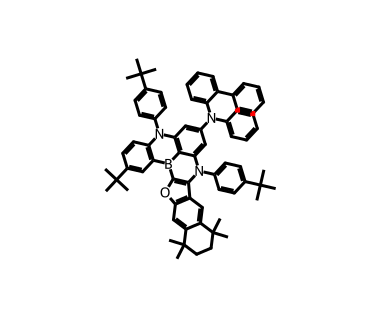 CC(C)(C)c1ccc(N2c3ccc(C(C)(C)C)cc3B3c4oc5cc6c(cc5c4N(c4ccc(C(C)(C)C)cc4)c4cc(N(c5ccccc5)c5ccccc5-c5ccccc5)cc2c43)C(C)(C)CCC6(C)C)cc1